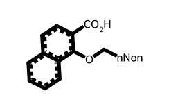 CCCCCCCCCCOc1c(C(=O)O)ccc2ccccc12